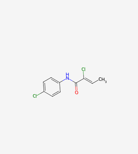 C/C=C(\Cl)C(=O)Nc1ccc(Cl)cc1